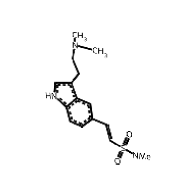 CNS(=O)(=O)C=Cc1ccc2[nH]cc(CCN(C)C)c2c1